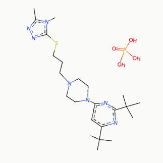 Cc1nnc(SCCCN2CCN(c3cc(C(C)(C)C)nc(C(C)(C)C)n3)CC2)n1C.O=P(O)(O)O